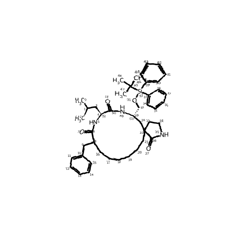 CC(C)C[C@@H]1NC(=O)C(Cc2ccccc2)CCCCCCC2(CCNC2=O)C[C@@H](CO[Si](c2ccccc2)(c2ccccc2)C(C)(C)C)NC1=O